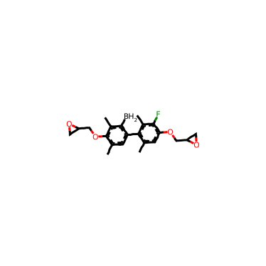 Bc1c(-c2c(C)cc(OCC3CO3)c(F)c2C)cc(C)c(OCC2CO2)c1C